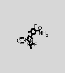 Cc1cc(F)c(C(N)=O)cc1-c1cc(N2CCOCC2)c2nc(C)c(F)n2c1